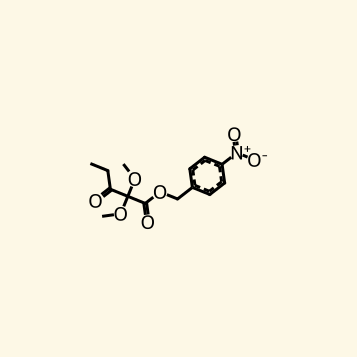 CCC(=O)C(OC)(OC)C(=O)OCc1ccc([N+](=O)[O-])cc1